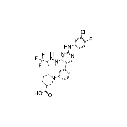 O=C(O)C1CCCN(c2cccc(-c3cnc(Nc4ccc(F)c(Cl)c4)nc3N3C=CC(C(F)(F)F)N3)c2)C1